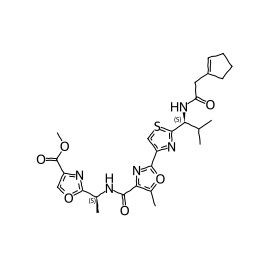 COC(=O)c1coc([C@H](C)NC(=O)c2nc(-c3csc([C@@H](NC(=O)CC4=CCCC4)C(C)C)n3)oc2C)n1